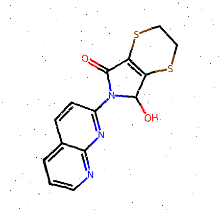 O=C1C2=C(SCCS2)C(O)N1c1ccc2cccnc2n1